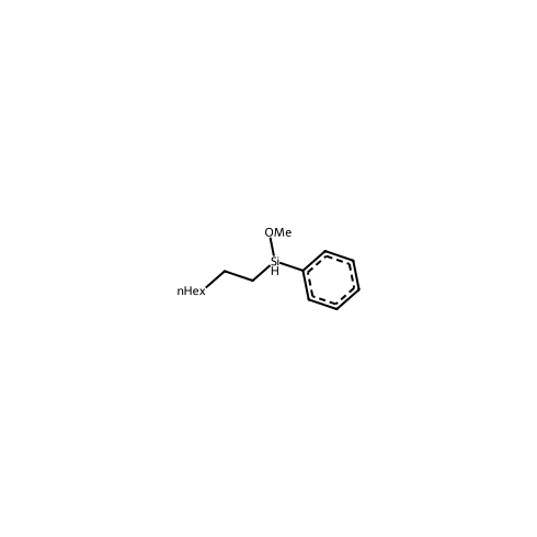 CCCCCCCC[SiH](OC)c1ccccc1